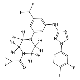 [2H]C1([2H])N(C(=O)C2CC2)C([2H])([2H])C([2H])([2H])N(c2cc(Nc3ncn(-c4ccc(F)c(F)c4)n3)cc(C(F)F)c2)C1([2H])[2H]